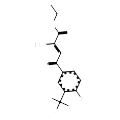 CCOC(=O)C(O)=CC(=O)c1ccc(F)c(C(F)(F)F)c1